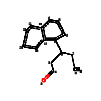 CCC(CC=O)c1cccc2ccccc12